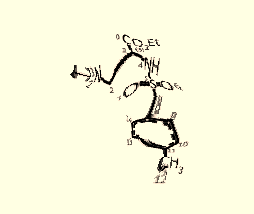 CCOC(=O)[C@H](CN)NS(=O)(=O)c1ccc(C)cc1